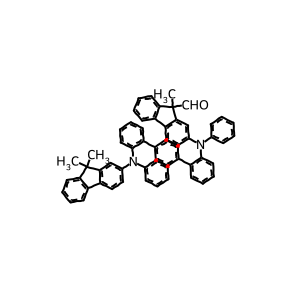 CC1(C)c2ccccc2-c2ccc(N(c3ccccc3)c3ccccc3-c3ccc(-c4ccccc4N(c4ccccc4)c4ccc5c(c4)C(C)(C=O)c4ccccc4-5)cc3)cc21